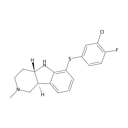 CN1CC[C@@H]2Nc3c(Sc4ccc(F)c(Cl)c4)cccc3[C@H]2C1